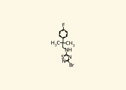 CC(C)(CNc1nc(Br)ns1)c1ccc(F)cc1